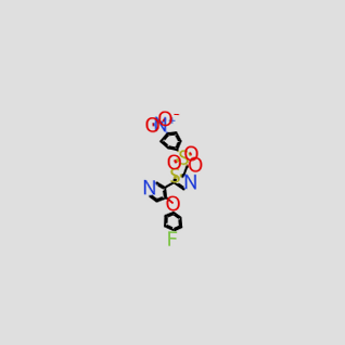 O=C(c1ncc(-c2cnccc2Oc2ccc(F)cc2)s1)S(=O)(=O)c1ccc([N+](=O)[O-])cc1